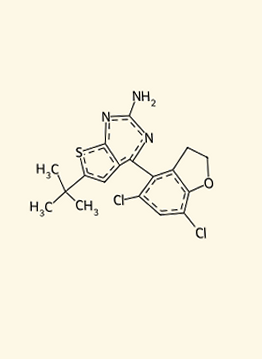 CC(C)(C)c1cc2c(-c3c(Cl)cc(Cl)c4c3CCO4)nc(N)nc2s1